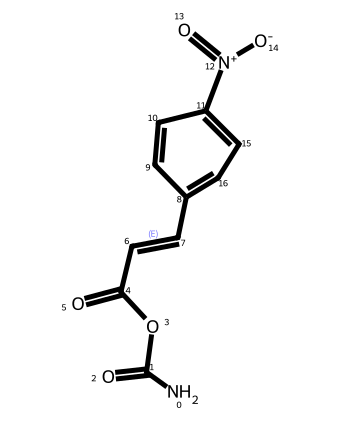 NC(=O)OC(=O)/C=C/c1ccc([N+](=O)[O-])cc1